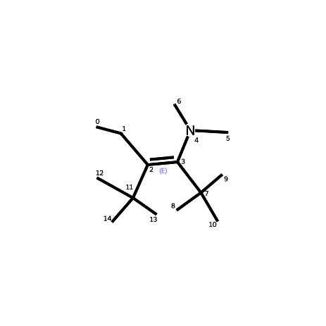 CC/C(=C(\N(C)C)C(C)(C)C)C(C)(C)C